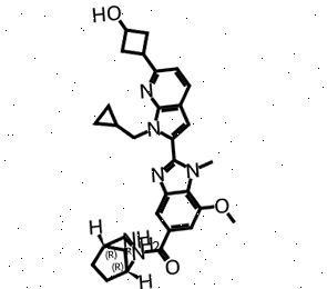 COc1cc(C(=O)N2C[C@H]3CC[C@@H]2[C@@H]3N)cc2nc(-c3cc4ccc(C5CC(O)C5)nc4n3CC3CC3)n(C)c12